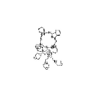 c1ccc2c(c1)-c1nc-2nc2[nH]c(nc3nc(nc4[nH]c(n1)c1ccccc41)-c1ccccc1-3)c1[c]([Zn]([O]CCN3CCOCC3)([O]CCN3CCOCC3)([O]CCN3CCOCC3)[O]CCN3CCOCC3)cccc21